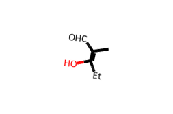 CCC(O)=C(C)C=O